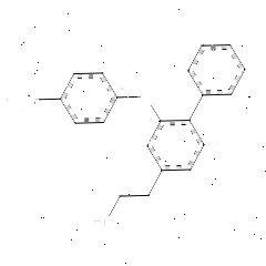 O=[N+]([O-])c1ccc(Oc2cc(CCBr)ccc2-c2ccccc2)cc1